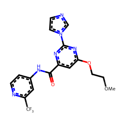 COCCOc1cc(C(=O)Nc2ccnc(C(F)(F)F)c2)nc(-n2ccnc2)n1